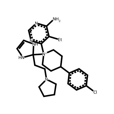 CCc1c(N)ncnc1[N+]1(C2(CCN3CCCC3)NC=CN2)CCC(c2ccc(Cl)cc2)CC1